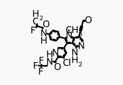 C=C(F)C(=O)Nc1ccc(-c2c(-c3cnc(C(=O)NCC(F)(F)F)c(Cl)c3)c3c(N)ncc(C#CC=O)c3n2C)cc1